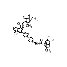 Cc1cc(C)c(CNC(=O)c2cc(-c3ccc(N4CCN(CCNC(=O)CC56CC7CC(C)(C5)C[C@](C)(C7)C6)CC4)nc3)cc3c2cnn3C(C)C)c(=O)[nH]1